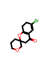 O=C1CC2(CCCOC2)OC2=C1C=C(Br)CC2